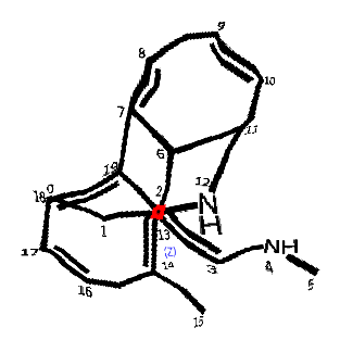 CC/C(=C/NC)C1C2=CC=CC1Nc1c(C)cccc12